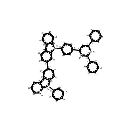 c1ccc(-c2cc(-c3ccc(-n4c5ccccc5c5ccc(-c6ccc7c(c6)c6cccnc6n7-c6ccccc6)cc54)cc3)nc(-c3ccccc3)n2)cc1